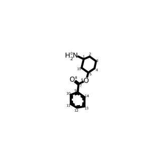 NC1CCCC(OC(=O)c2ccccc2)C1